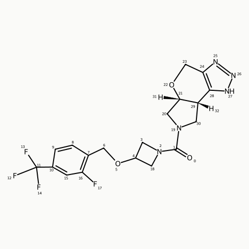 O=C(N1CC(OCc2ccc(C(F)(F)F)cc2F)C1)N1C[C@@H]2OCc3nn[nH]c3[C@@H]2C1